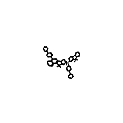 CC1(C)c2ccccc2-c2ccc(N(c3ccc(-c4ccccc4)cc3)c3ccc4c(c3)C(C)(C)c3c-4cc(-c4ccc(-c5ccccc5)cc4)c4ccccc34)cc21